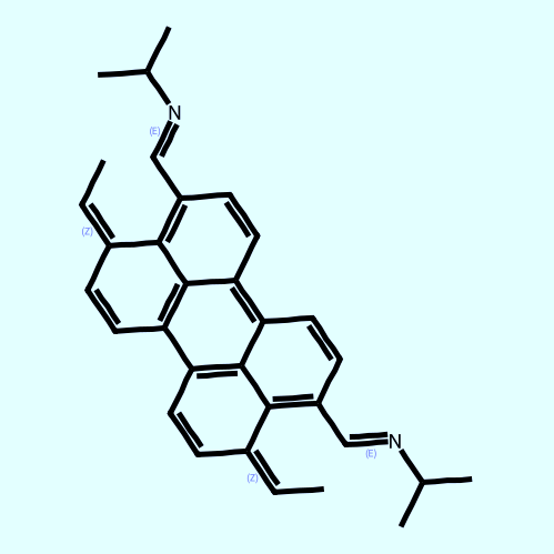 C/C=c1/ccc2c3cc/c(=C/C)c4c(/C=N/C(C)C)ccc(c5ccc(/C=N/C(C)C)c1c52)c43